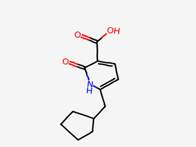 O=C(O)c1ccc(CC2CCCC2)[nH]c1=O